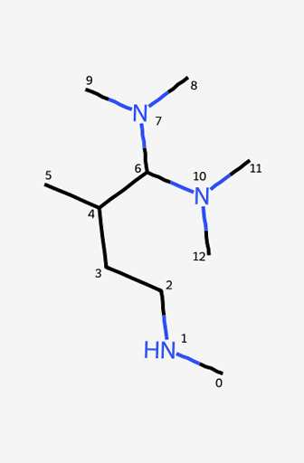 CNCCC(C)C(N(C)C)N(C)C